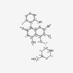 Cc1ccnc(C(C)C)c1-n1c(=O)nc(O)c2c(OC[C@H]3CN(C(=O)O)CCN3)c(Cl)c(Br)cc21